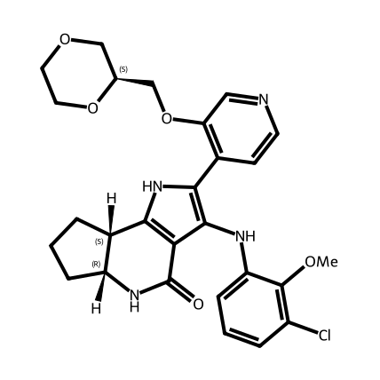 COc1c(Cl)cccc1Nc1c(-c2ccncc2OC[C@@H]2COCCO2)[nH]c2c1C(=O)N[C@@H]1CCC[C@H]21